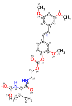 COc1cc(/C=C/c2ccc(OC(=O)OCCNC(=O)C(NC(=O)O)C(C)C)c(OC)c2)cc(OC)c1